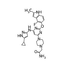 Cc1cc2c(F)c(Oc3nc(Nc4cc(C5CC5)[nH]n4)cc(N4CCN(CC(N)=O)CC4)n3)ccc2[nH]1